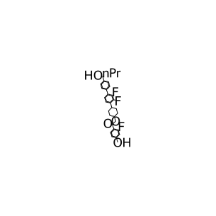 CCCC(O)c1ccc(-c2ccc(C3CCC(OC(=O)c4ccc(O)cc4F)CC3)c(F)c2F)cc1